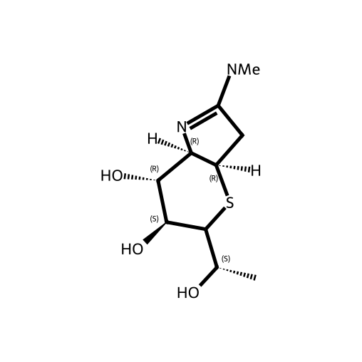 CNC1=N[C@@H]2[C@@H](O)[C@H](O)C([C@H](C)O)S[C@@H]2C1